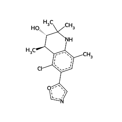 Cc1cc(-c2cnco2)c(Cl)c2c1NC(C)(C)[C@@H](O)[C@@H]2C